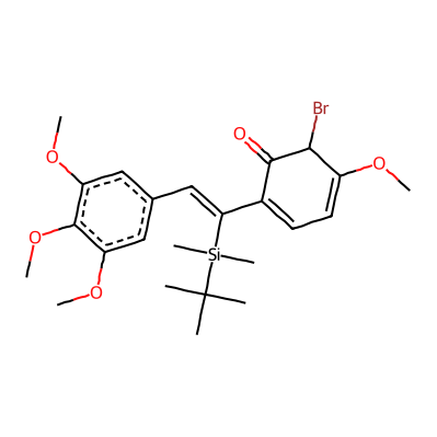 COC1=CC=C(C(=Cc2cc(OC)c(OC)c(OC)c2)[Si](C)(C)C(C)(C)C)C(=O)C1Br